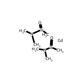 CN(C)[Si](C)=O.CN(C)[Si](C)=O.[Gd]